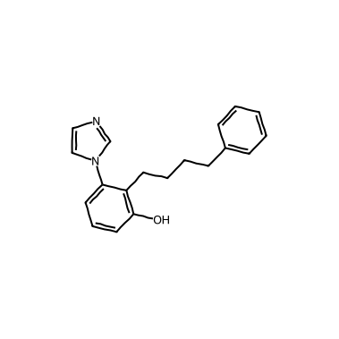 Oc1cccc(-n2ccnc2)c1CCCCc1ccccc1